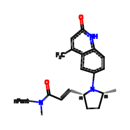 CCCCCN(C)C(=O)C=C[C@H]1CC[C@@H](C)N1c1ccc2[nH]c(=O)cc(C(F)(F)F)c2c1